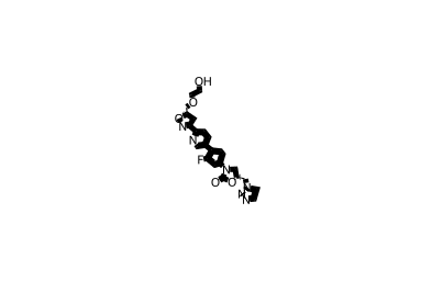 O=C1O[C@@H](Cn2ccnn2)CN1c1ccc(-c2ccc(C3=NO[C@H](COCCO)C3)nc2)c(F)c1